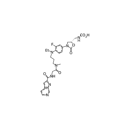 CCN(CCCN(C)C(=O)CNC(=O)c1cn2ccncc2n1)c1ccc(N2C[C@H](CNC(=O)O)OC2=O)cc1F